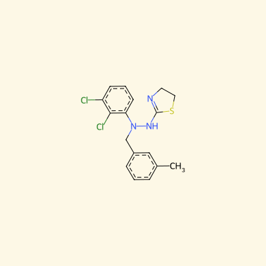 Cc1cccc(CN(NC2=NCCS2)c2cccc(Cl)c2Cl)c1